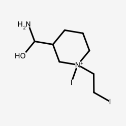 NC(O)C1CCC[N+](I)(CCI)C1